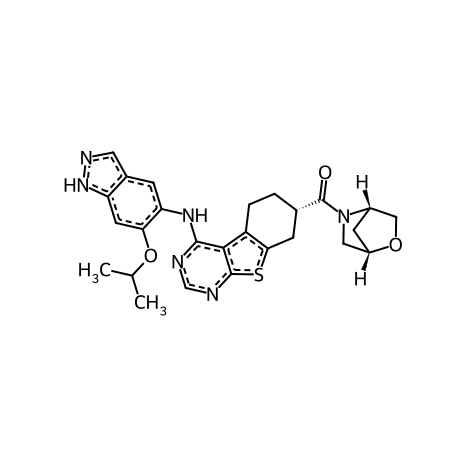 CC(C)Oc1cc2[nH]ncc2cc1Nc1ncnc2sc3c(c12)CC[C@H](C(=O)N1C[C@@H]2C[C@H]1CO2)C3